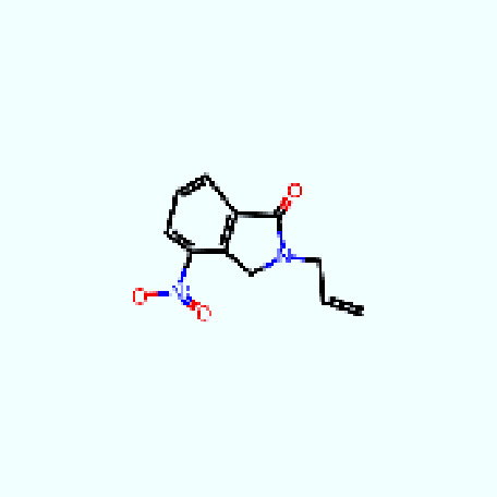 C=CCN1Cc2c(cccc2[N+](=O)[O-])C1=O